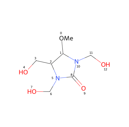 COC1C(CO)N(CO)C(=O)N1CO